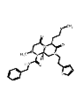 CSCC[C@H]1C(=O)N(CCc2cccs2)C[C@H]2N1C(=O)CN(C)N2C(=O)NCc1ccccc1